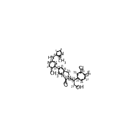 Cc1cnc(Nc2ccnn2C)nc1-c1cc2n(c1)C(=O)N([C@H](CO)c1ccc(F)c(Cl)c1)C2